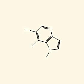 Cc1c(C#N)cnc2ccn(C)c12